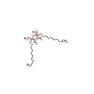 CCCCCCCC[O][Sn]([CH3])([CH3])[O][Sn]([CH3])([CH3])[O]CCCCCCCC